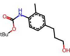 Cc1cc(CCCO)ccc1NC(=O)OC(C)(C)C